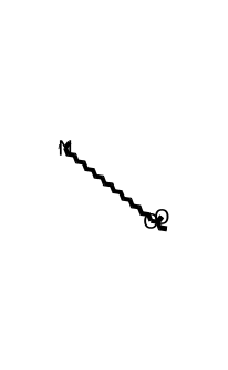 C=CC(=O)OCCCCCCCCCCCCCCCCCCN(C)C